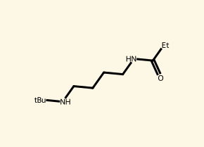 CCC(=O)NCCCCNC(C)(C)C